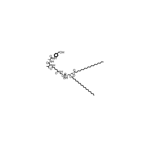 CCCCCCCCCCCCCCCCCC(=O)OC[C@H](COP(=O)(O)OCCNC(=O)CCCC(=O)N[C@H](C(=O)N[C@@H](C)C(=O)Nc1ccc(CO)cc1)C(C)C)OC(=O)CCCCCCCCCCCCCCCCC